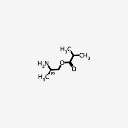 CC(C)C(=O)OC[C@@H](C)N